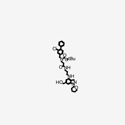 CC(C)(C)OC(=O)N(CCC(=O)NCCCNc1cc(CO)cc2c1cnn2C1CCCCO1)Cc1ccc(-c2ccccc2)c(Cl)c1